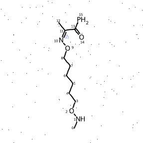 CNOCCCCCCO/N=C(/C)C(=O)P